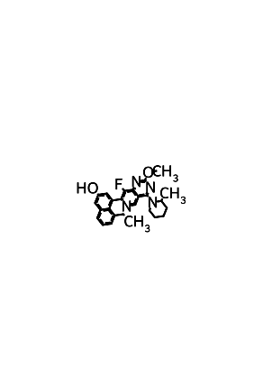 CCc1cccc2cc(O)cc(-c3ncc4c(N5CCCCC5C)nc(OC)nc4c3F)c12